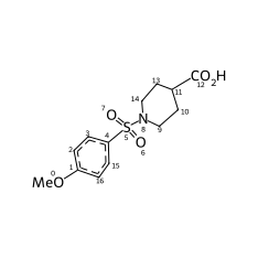 COc1ccc(S(=O)(=O)N2CCC(C(=O)O)CC2)cc1